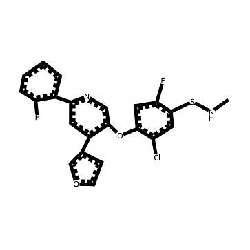 CNSc1cc(Cl)c(Oc2cnc(-c3ccccc3F)cc2-c2ccoc2)cc1F